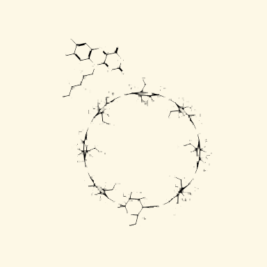 Cc1cc2nc3c(=O)[nH]c(=O)nc-3n(C[C@H](O)[C@H](O)[C@H](O)CO)c2cc1C.OC[C@H]1O[C@@H]2O[C@H]3[C@H](O)[C@@H](O)[C@@H](O[C@H]4[C@H](O)[C@@H](O)[C@@H](O[C@H]5[C@H](O)[C@@H](O)[C@@H](O[C@H]6[C@H](O)[C@@H](O)[C@@H](O[C@H]7[C@H](O)[C@@H](O)[C@@H](O[C@H]8[C@H](O)[C@@H](O)[C@@H](O[C@H]9[C@H](O)[C@@H](O)[C@@H](O[C@H]1[C@H](O)[C@H]2O)O[C@@H]9CO)O[C@@H]8CO)O[C@@H]7CO)O[C@@H]6CO)O[C@@H]5CO)O[C@@H]4CO)O[C@@H]3CO